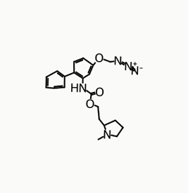 CN1CCCC1CCOC(=O)Nc1cc(OCN=[N+]=[N-])ccc1-c1ccccc1